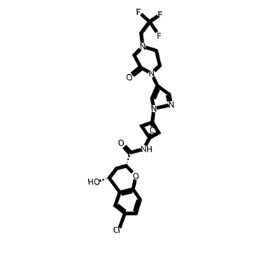 O=C(NC12CC(n3cc(N4CCN(CC(F)(F)F)CC4=O)cn3)(C1)C2)[C@H]1C[C@@H](O)c2cc(Cl)ccc2O1